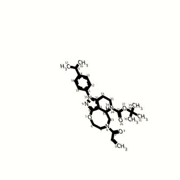 C=CC(=O)N1CCOc2nn(-c3ccc(C(C)C)cc3)c3c2[C@H](C1)N(C(=O)OC(C)(C)C)CC3